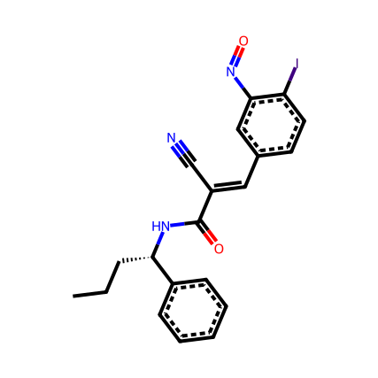 CCC[C@H](NC(=O)/C(C#N)=C/c1ccc(I)c(N=O)c1)c1ccccc1